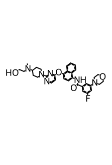 CN(CCO)C1CCN(c2nccc(Oc3ccc(NC(=O)c4cc(F)cc(N5CCOCC5)c4)c4ccccc34)n2)CC1